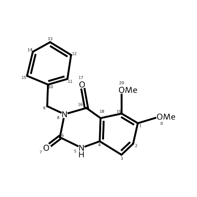 COc1ccc2[nH]c(=O)n(Cc3ccccc3)c(=O)c2c1OC